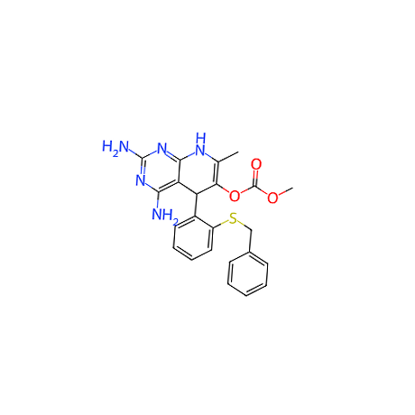 COC(=O)OC1=C(C)Nc2nc(N)nc(N)c2C1c1ccccc1SCc1ccccc1